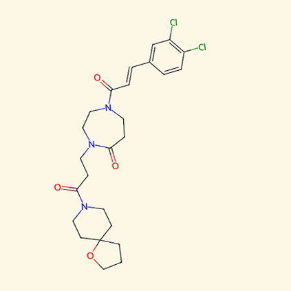 O=C(C=Cc1ccc(Cl)c(Cl)c1)N1CCC(=O)N(CCC(=O)N2CCC3(CCCO3)CC2)CC1